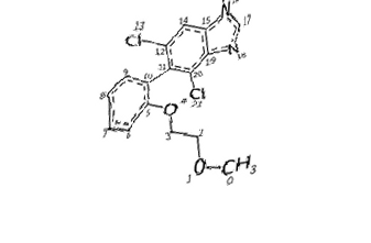 COCCOc1ccccc1-c1c(Cl)cc2[nH][c]nc2c1Cl